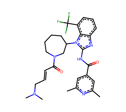 Cc1cc(C(=O)Nc2nc3cccc(C(F)(F)F)c3n2C2CCCCN(C(=O)C=CCN(C)C)C2)cc(C)n1